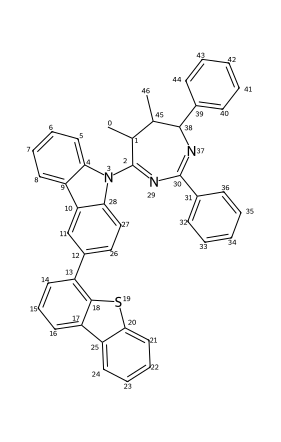 CC1C(n2c3ccccc3c3cc(-c4cccc5c4sc4ccccc45)ccc32)=NC(c2ccccc2)=NC(c2ccccc2)C1C